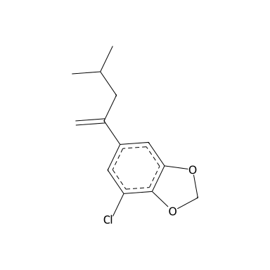 C=C(CC(C)C)c1cc(Cl)c2c(c1)OCO2